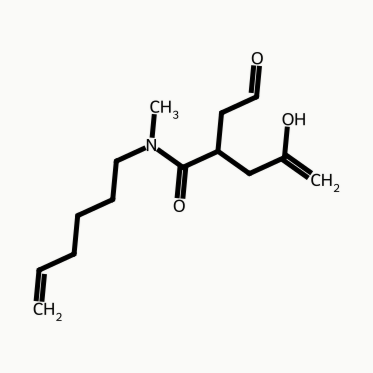 C=CCCCCN(C)C(=O)C(CC=O)CC(=C)O